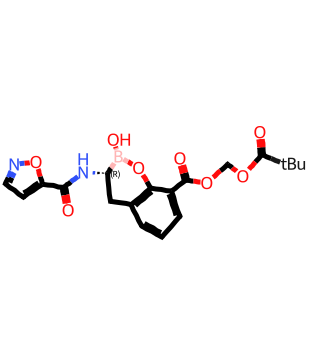 CC(C)(C)C(=O)OCOC(=O)c1cccc2c1OB(O)[C@@H](NC(=O)c1ccno1)C2